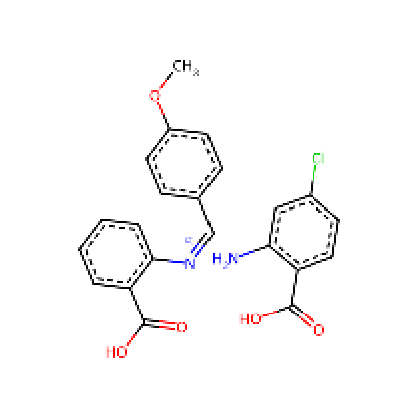 COc1ccc(/C=N\c2ccccc2C(=O)O)cc1.Nc1cc(Cl)ccc1C(=O)O